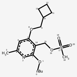 CCCCOc1nc(C)cc(OCC2CCC2)c1COS(C)(=O)=O